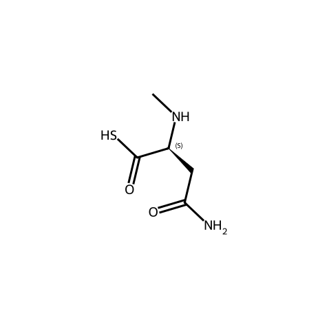 CN[C@@H](CC(N)=O)C(=O)S